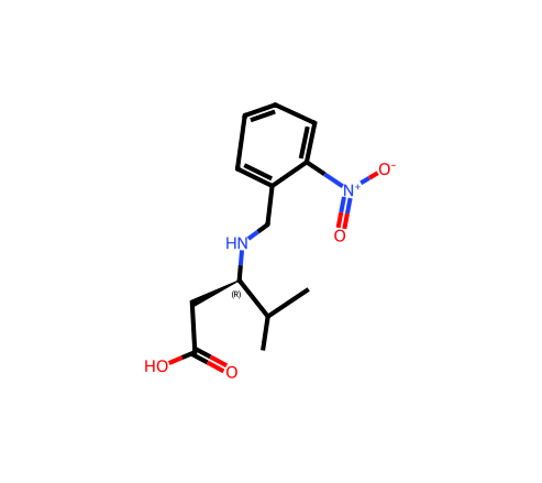 CC(C)[C@@H](CC(=O)O)NCc1ccccc1[N+](=O)[O-]